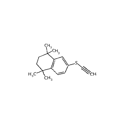 C#CSc1ccc2c(c1)C(C)(C)CCC2(C)C